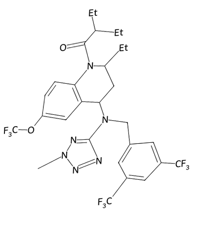 CCC(CC)C(=O)N1c2ccc(OC(F)(F)F)cc2C(N(Cc2cc(C(F)(F)F)cc(C(F)(F)F)c2)c2nnn(C)n2)CC1CC